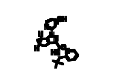 CC(C)(C)[C@H](NC(=O)c1nn(-c2c[n+](O)ccn2)c2c1C[C@@H]1C[C@H]21)c1ccccn1